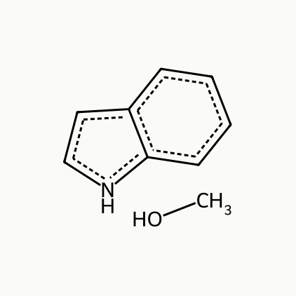 CO.c1ccc2[nH]ccc2c1